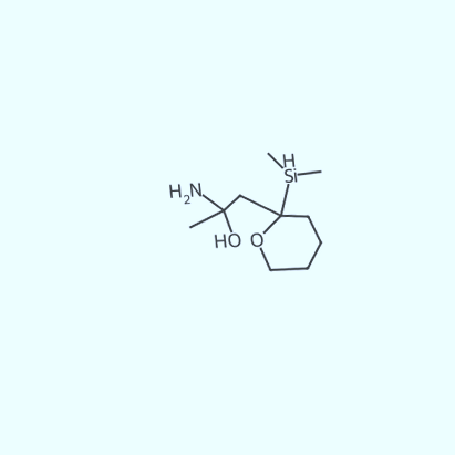 C[SiH](C)C1(CC(C)(N)O)CCCCO1